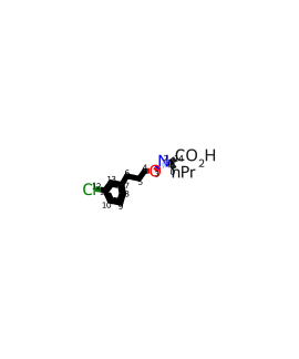 CCC/C(=N\OCCCc1cccc(Cl)c1)C(=O)O